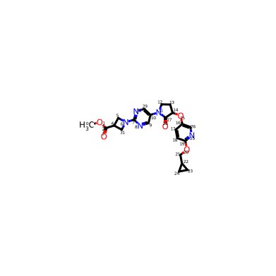 COC(=O)C1CN(c2ncc(N3CCC(Oc4ccc(OCC5CC5)nc4)C3=O)cn2)C1